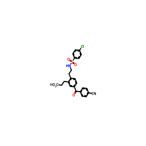 N#Cc1ccc(C(=O)c2ccc(CCNS(=O)(=O)c3ccc(Cl)cc3)c(CCC(=O)O)c2)cc1